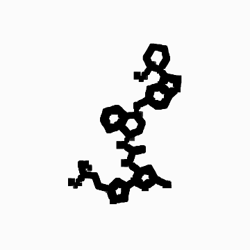 CCc1cc(NC(=O)N[C@H]2CC[C@@H](Oc3ccc4nnc(N5CCCC[C@@H]5C)n4c3)c3ccccc32)n(-c2cnn(CCN(C)C)c2)n1